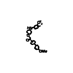 COc1ccc(C2CCN(C(=O)COC3CCC(Nc4ccc(C)c(C(F)(F)F)c4)CC3)CC2)cc1